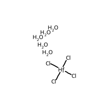 O.O.O.O.O.[Cl][Hf]([Cl])([Cl])[Cl]